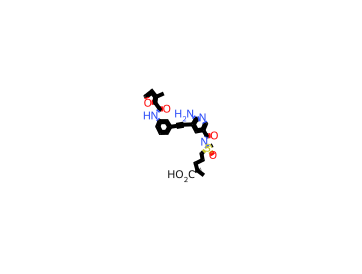 Cc1ccoc1C(=O)Nc1cccc(C#Cc2cc(C(=O)N=S(C)(=O)CCC[C@@H](C)C(=O)O)cnc2N)c1